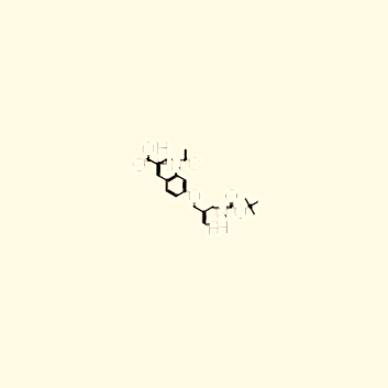 CC(=O)Nc1cc(OC/C(=C/F)CNC(=O)OC(C)(C)C)ccc1/C=C(\C)C(=O)O